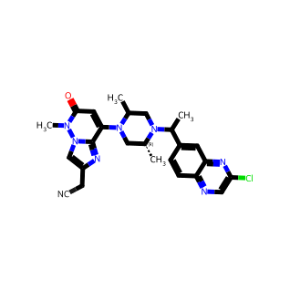 CC1CN(C(C)c2ccc3ncc(Cl)nc3c2)[C@H](C)CN1c1cc(=O)n(C)n2cc(CC#N)nc12